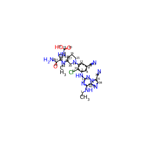 CCNc1nc(Nc2cc(C#N)cc(N3CC[C@@H](NC(=O)O)[C@H](N(C)[C@@H](C)C(N)=O)C3)c2Cl)nn2c(C#N)cnc12